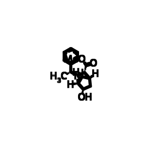 COC(=O)[C@@H]1[C@@H]2C[C@H](O)[C@@H]([C@H]2I)N1[C@H](C)c1ccccc1